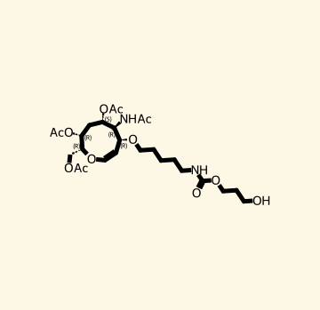 CC(=O)N[C@@H]1[C@@H](OC(C)=O)C[C@@H](OC(C)=O)[C@@H](COC(C)=O)OC=C[C@H]1OCCCCCNC(=O)OCCCO